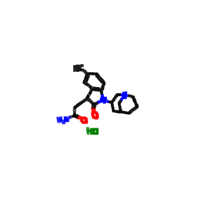 Cl.N#Cc1ccc2c(c1)C(CC(N)=O)C(=O)N2C1CC2CCCN(C2)C1